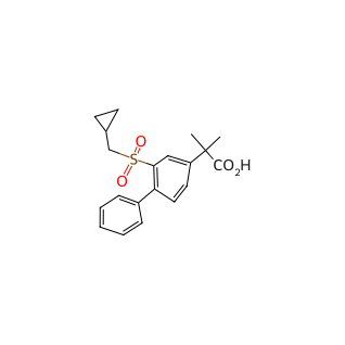 CC(C)(C(=O)O)c1ccc(-c2ccccc2)c(S(=O)(=O)CC2CC2)c1